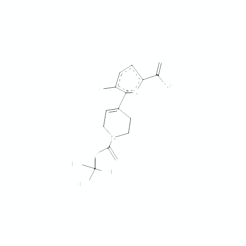 CC(C)(C)OC(=O)N1CC=C(c2nc(C(N)=O)ccc2F)CC1